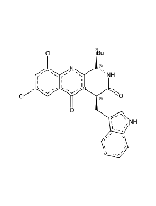 CC[C@H](C)[C@@H]1NC(=O)[C@@H](Cc2c[nH]c3ccccc23)n2c1nc1c(Cl)cc(Cl)cc1c2=O